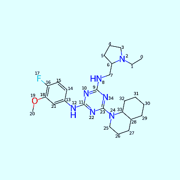 CCN1CCCC1CNc1nc(Nc2ccc(F)c(OC)c2)nc(N2CCCC3CCCCC32)n1